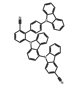 N#Cc1ccc2c(c1)c1ccccc1n2-c1cccc2c1c1ccccc1n2-c1cccc(C#N)c1-c1ccc(-n2c3ccccc3c3ccccc32)cc1